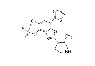 CC1CNCCN1c1nc2c(OC(F)(F)F)c(Cl)cc(-c3nccs3)c2o1